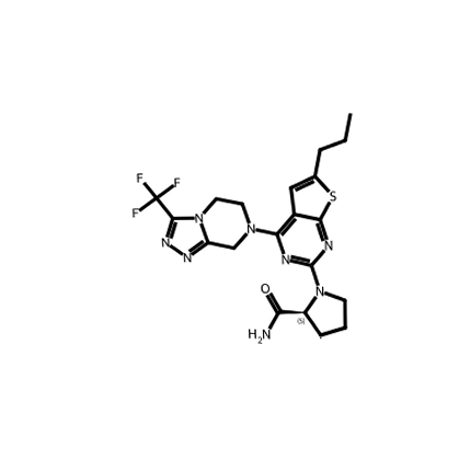 CCCc1cc2c(N3CCn4c(nnc4C(F)(F)F)C3)nc(N3CC[CH][C@H]3C(N)=O)nc2s1